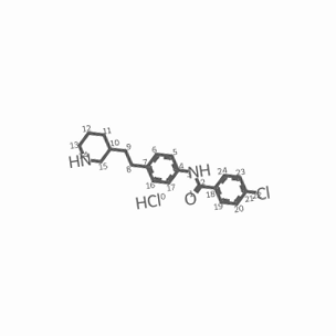 Cl.O=C(Nc1ccc(CCC2CCCNC2)cc1)c1ccc(Cl)cc1